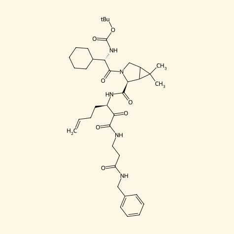 C=CCC[C@@H](NC(=O)[C@@H]1C2C(CN1C(=O)[C@@H](NC(=O)OC(C)(C)C)C1CCCCC1)C2(C)C)C(=O)C(=O)NCCC(=O)NCc1ccccc1